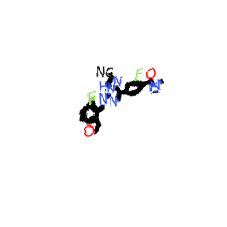 CN(C)C(=O)c1ccc(-c2cnc(NCc3c(F)ccc4c3CCO4)n3cc(C#N)nc23)cc1F